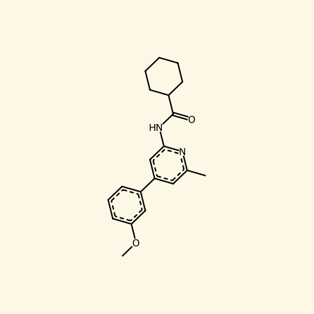 COc1cccc(-c2cc(C)nc(NC(=O)C3CCCCC3)c2)c1